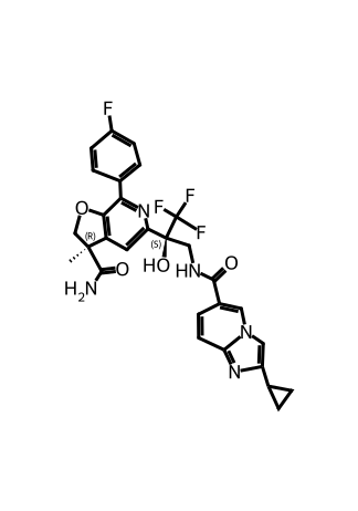 C[C@]1(C(N)=O)COc2c1cc([C@@](O)(CNC(=O)c1ccc3nc(C4CC4)cn3c1)C(F)(F)F)nc2-c1ccc(F)cc1